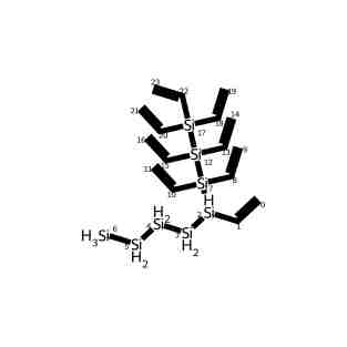 C=C[SiH]([SiH2][SiH2][SiH2][SiH3])[Si](C=C)(C=C)[Si](C=C)(C=C)[Si](C=C)(C=C)C=C